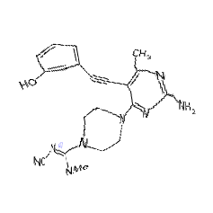 CN/C(=N\C#N)N1CCN(c2nc(N)nc(C)c2C#Cc2cccc(O)c2)CC1